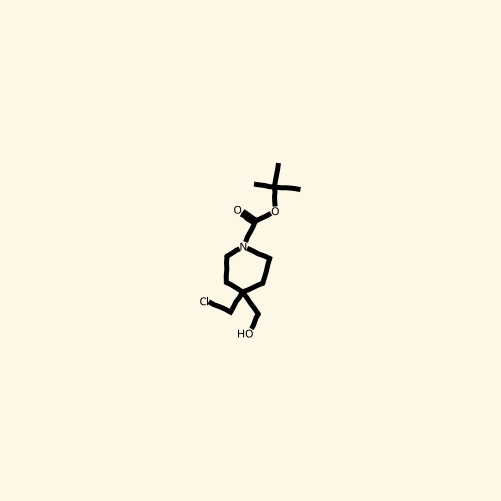 CC(C)(C)OC(=O)N1CCC(CO)(CCl)CC1